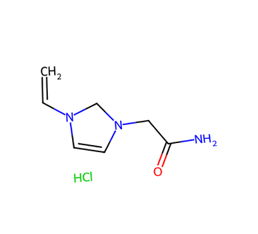 C=CN1C=CN(CC(N)=O)C1.Cl